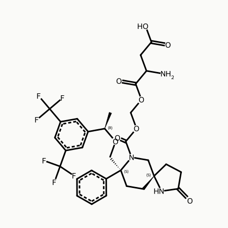 C[C@@H](OC[C@@]1(c2ccccc2)CC[C@]2(CCC(=O)N2)CN1C(=O)OCOC(=O)C(N)CC(=O)O)c1cc(C(F)(F)F)cc(C(F)(F)F)c1